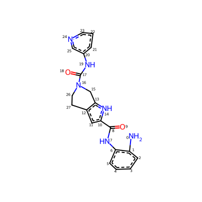 Nc1ccccc1NC(=O)c1cc2c([nH]1)CN(C(=O)Nc1cccnc1)CC2